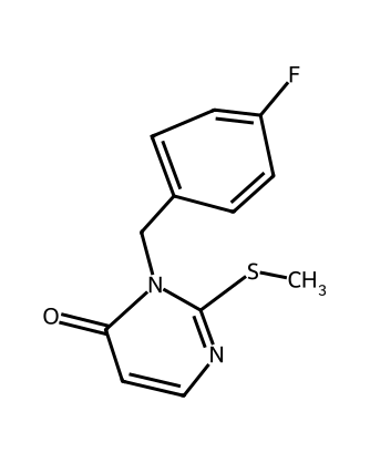 CSc1nccc(=O)n1Cc1ccc(F)cc1